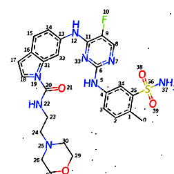 Cc1ccc(Nc2ncc(F)c(Nc3ccc4ccn(C(=O)NCCN5CCOCC5)c4c3)n2)cc1S(N)(=O)=O